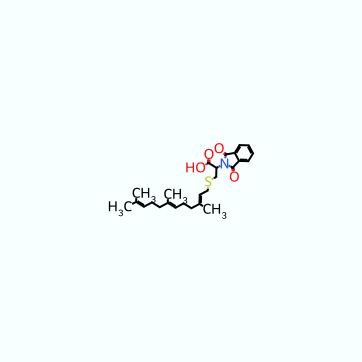 CC(C)=CCC/C(C)=C/CC/C(C)=C/CSCC(C(=O)O)N1C(=O)c2ccccc2C1=O